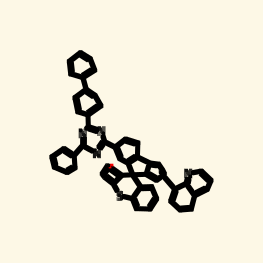 c1ccc(-c2ccc(-c3nc(-c4ccccc4)nc(-c4ccc5c(c4)C4(c6ccccc6Sc6ccccc64)c4cc(-c6cccc7cccnc67)ccc4-5)n3)cc2)cc1